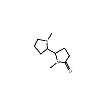 CN1CCCC1C1CCC(=O)N1C